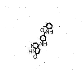 Cc1ccccc1NC(=O)c1ccc(Nc2ccnc3[nH]c(=O)ccc23)cc1